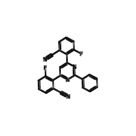 N#Cc1cccc(F)c1-c1cc(-c2c(F)cccc2C#N)nc(-c2ccccc2)n1